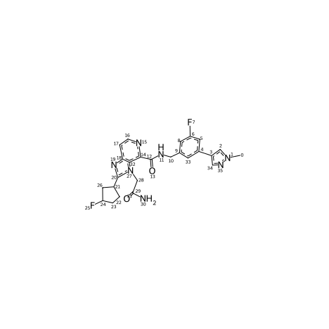 Cn1cc(-c2cc(F)cc(CNC(=O)c3nccc4nc(C5CCC(F)C5)n(CC(N)=O)c34)c2)cn1